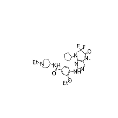 CCOc1cc(C(=O)NC2CCN(CC)CC2)ccc1Nc1ncc2c(n1)N(C1CCCC1)CC(F)(F)C(=O)N2C